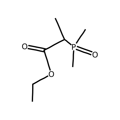 CCOC(=O)C(C)P(C)(C)=O